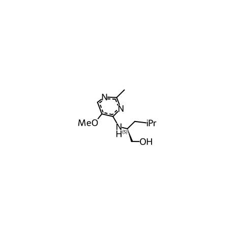 COc1cnc(C)nc1N[C@H](CO)CC(C)C